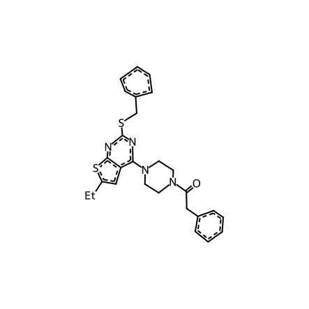 CCc1cc2c(N3CCN(C(=O)Cc4ccccc4)CC3)nc(SCc3ccccc3)nc2s1